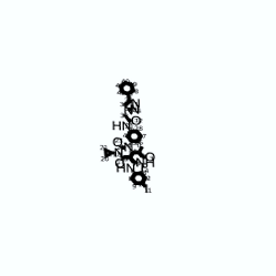 Cc1c(=O)[nH]c(Nc2ccc(I)cc2F)c2c(=O)n(C3CC3)c(=O)n(-c3cccc(NC(=O)Cn4cc(-c5ccccc5)nn4)c3)c12